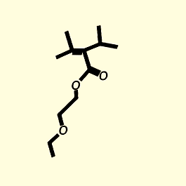 CCOCCOC(=O)C(=C(C)C)C(C)C